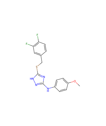 COc1ccc(Nc2n[nH]c(SCc3ccc(F)c(F)c3)n2)cc1